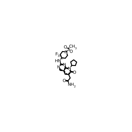 CS(=O)(=O)N1CC[C@@H](Nc2ncc3cc(CC(N)=O)c(=O)n(C4CCCC4)c3n2)[C@H](F)C1